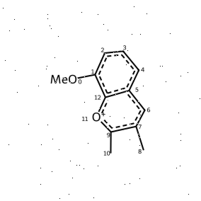 COc1cccc2cc(C)c(C)[o+]c12